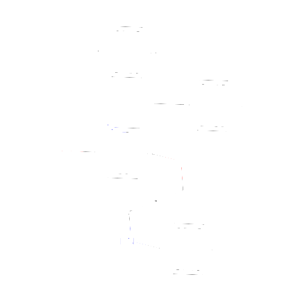 COc1cc2c(c(C(c3ccccc3)c3ccccc3)n1)OCC21C(=O)Nc2ccccc21